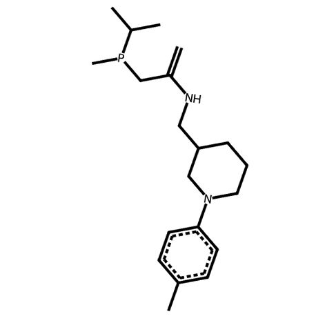 C=C(CP(C)C(C)C)NCC1CCCN(c2ccc(C)cc2)C1